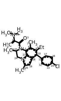 C=C(C(=O)N1c2c(C)c(CC)c(-c3ccc(Cl)cc3)c3cc(C)n(c23)CC1C)N(C)C